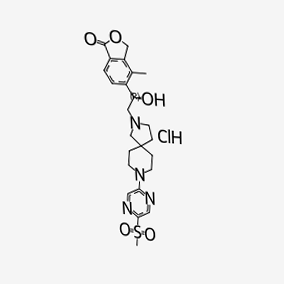 Cc1c([C@@H](O)CN2CCC3(CCN(c4cnc(S(C)(=O)=O)cn4)CC3)C2)ccc2c1COC2=O.Cl